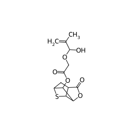 C=C(C)C(O)OCC(=O)OC1C2CC3C(=O)OC1C3S2